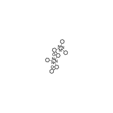 c1ccc(-c2nc(-c3cccc4c3oc3ccccc34)nc(-c3cccc4c3oc3cccc(-c5nc(-c6ccccc6)nc(-c6ccccc6)n5)c34)n2)cc1